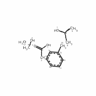 CC(=O)O.CC(C)O.CO.Cc1ccccc1.O